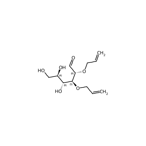 C=CCO[C@@H]([C@H](O)[C@H](O)CO)[C@H](C=O)OCC=C